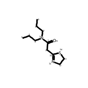 CCCN(CCC)C(=O)CC1=NCCS1